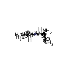 COC(=O)c1cc(N)c(NC/C=C/CNC(=O)OC(C)(C)C)s1